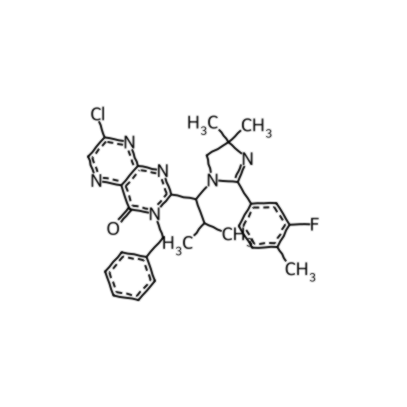 Cc1ccc(C2=NC(C)(C)CN2C(c2nc3nc(Cl)cnc3c(=O)n2Cc2ccccc2)C(C)C)cc1F